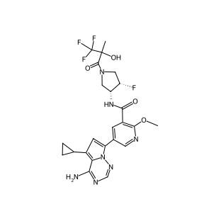 COc1ncc(-c2cc(C3CC3)c3c(N)ncnn23)cc1C(=O)N[C@@H]1CN(C(=O)C(C)(O)C(F)(F)F)C[C@@H]1F